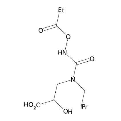 CCC(=O)ONC(=O)N(CC(C)C)CC(O)C(=O)O